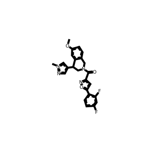 COc1ccc2c(c1)C(c1cnn(C)c1)CN(C(=O)c1cc(-c3ccc(F)cc3F)on1)C2